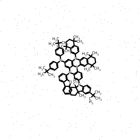 CC(C)(C)c1ccc(N(c2ccc(C(C)(C)C)cc2)c2cc3c4c(c2)N(c2cccc5c2oc2ccccc25)c2cc(N5c6ccc(C(C)(C)C)cc6C6(C)CCCCC56C)ccc2B4c2cc4c(cc2N3c2ccc3c(c2)C(C)(C)CCC3(C)C)C(C)(C)CCC4(C)C)cc1